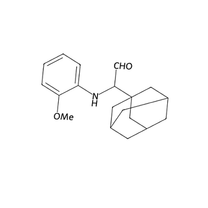 COc1ccccc1NC(C=O)C12CC3CC(CC(C3)C1)C2